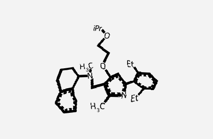 CCc1cccc(CC)c1-c1cc(OCCOC(C)C)c(CN(C)C2CCCc3ccccc32)c(C)n1